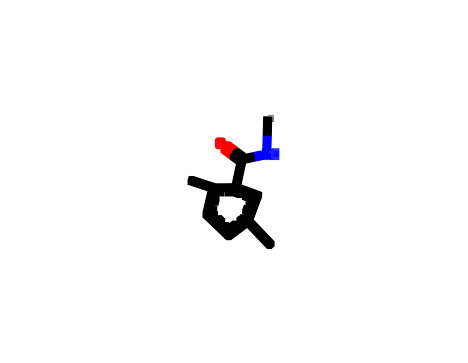 [CH]NC(=O)c1cc(C)ccc1C